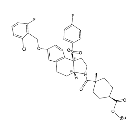 CC(C)(C)OC(=O)[C@H]1CC[C@](C)(C(=O)N2CC[C@@]3(S(=O)(=O)c4ccc(F)cc4)c4ccc(OCc5c(F)cccc5Cl)cc4CC[C@@H]23)CC1